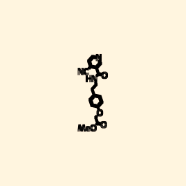 COC(=O)COc1ccc(CCNC(=O)c2cnccc2C#N)cc1